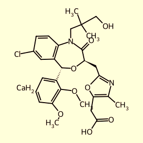 COc1cccc([C@H]2O[C@H](Cc3nc(C)c(CC(=O)O)o3)C(=O)N(CC(C)(C)CO)c3ccc(Cl)cc32)c1OC.[CaH2]